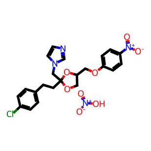 O=[N+]([O-])O.O=[N+]([O-])c1ccc(OCC2COC(CCc3ccc(Cl)cc3)(Cn3ccnc3)O2)cc1